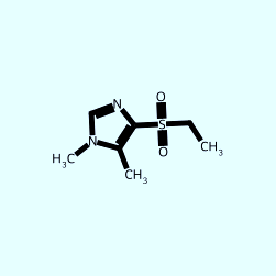 CCS(=O)(=O)c1ncn(C)c1C